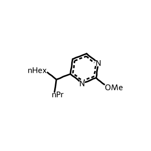 CCCCCCC(CCC)c1ccnc(OC)n1